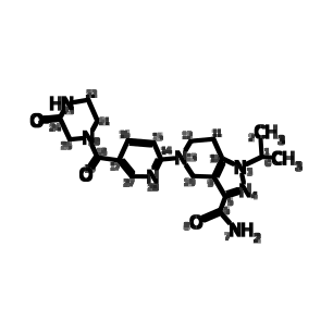 CC(C)n1nc(C(N)=O)c2c1CCN(c1ccc(C(=O)N3CCNC(=O)C3)cn1)C2